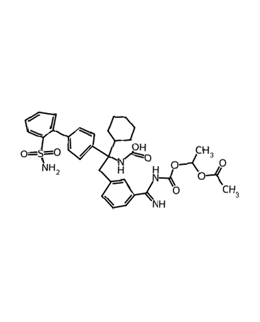 CC(=O)OC(C)OC(=O)NC(=N)c1cccc(CC(NC(=O)O)(c2ccc(-c3ccccc3S(N)(=O)=O)cc2)C2CCCCC2)c1